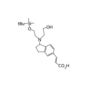 CC(C)(C)[Si](C)(C)OCCN(CCO)C1CCc2cc(C=CC(=O)O)ccc21